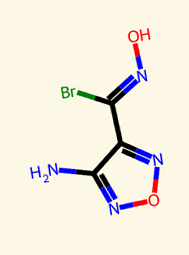 Nc1nonc1C(Br)=NO